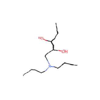 CCCN(CCC)CC(O)C(O)CC